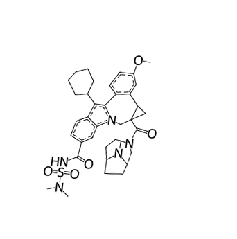 COc1ccc2c(c1)C1CC1(C(=O)N1CCC3CCC(C1)N3C)Cn1c-2c(C2CCCCC2)c2ccc(C(=O)NS(=O)(=O)N(C)C)cc21